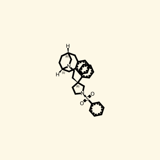 O=S(=O)(c1ccccc1)N1CC[C@](CCN2C[C@@H]3CC[C@H]2Cc2ccccc2C3)(c2ccccc2)C1